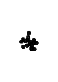 c1ccc(-c2ccc(N(c3cc(-c4cccc5c4oc4ccccc45)cc(N(c4ccc(-c5ccccc5)cc4)c4ccc5c(c4)sc4ccccc45)c3)c3ccc4c(c3)oc3ccccc34)cc2)cc1